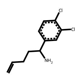 C=CCCC(N)c1ccc(Cl)c(Cl)c1